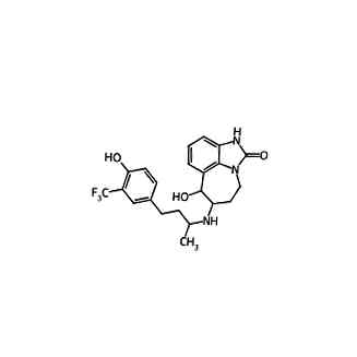 CC(CCc1ccc(O)c(C(F)(F)F)c1)NC1CCn2c(=O)[nH]c3cccc(c32)C1O